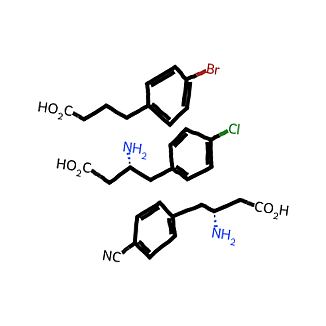 N#Cc1ccc(C[C@@H](N)CC(=O)O)cc1.N[C@@H](CC(=O)O)Cc1ccc(Cl)cc1.O=C(O)CCCc1ccc(Br)cc1